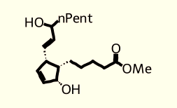 CCCCCC(O)C=C[C@H]1C=C[C@@H](O)[C@H]1CCCCC(=O)OC